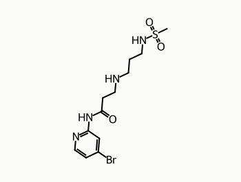 CS(=O)(=O)NCCCNCCC(=O)Nc1cc(Br)ccn1